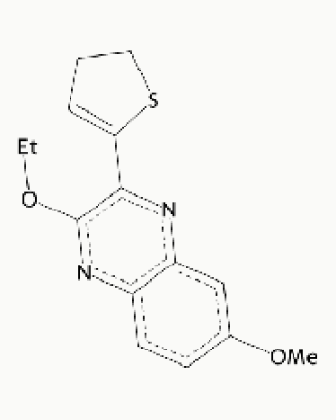 CCOc1nc2ccc(OC)cc2nc1C1=CCCS1